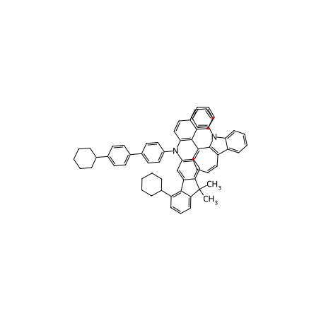 CC1(C)c2ccc(N(c3ccc(-c4ccc(C5CCCCC5)cc4)cc3)c3ccc4ccccc4c3C3=CCC=Cc4c3n(-c3ccccc3)c3ccccc43)cc2-c2c(C3CCCCC3)cccc21